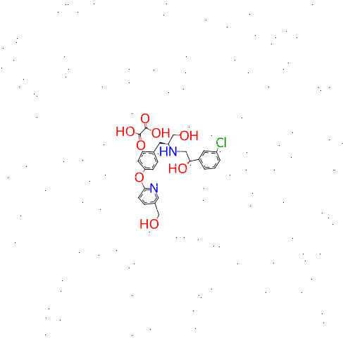 O=C(O)C(=O)O.OCc1ccc(Oc2ccc(C[C@@H](CO)NC[C@H](O)c3cccc(Cl)c3)cc2)nc1